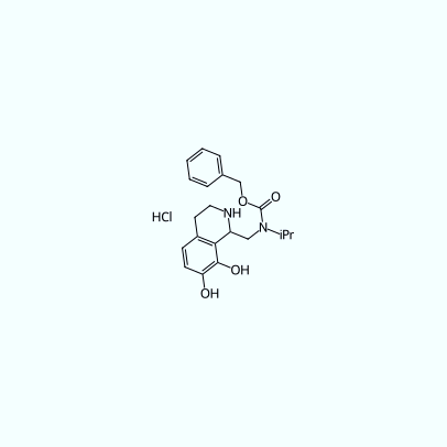 CC(C)N(CC1NCCc2ccc(O)c(O)c21)C(=O)OCc1ccccc1.Cl